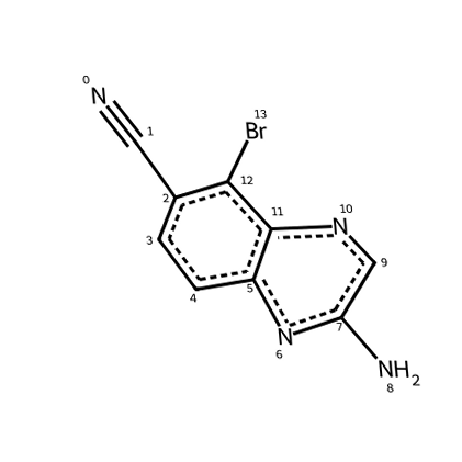 N#Cc1ccc2nc(N)cnc2c1Br